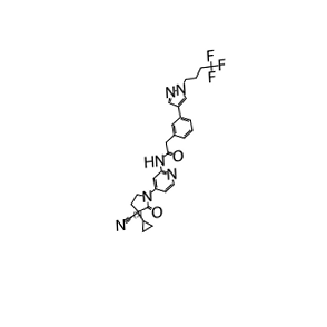 N#C[C@@]1(C2CC2)CCN(c2ccnc(NC(=O)Cc3cccc(-c4cnn(CCCC(F)(F)F)c4)c3)c2)C1=O